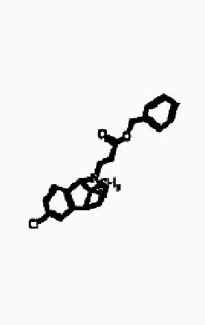 C[C@H]1C2CCN(CCC(=O)OCc3ccccc3)C1c1ccc(Cl)cc12